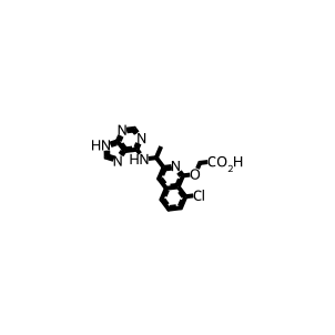 CC(Nc1ncnc2[nH]cnc12)c1cc2cccc(Cl)c2c(OCC(=O)O)n1